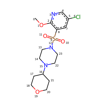 COc1ncc(Cl)cc1S(=O)(=O)N1CCN(C2CCOCC2)CC1